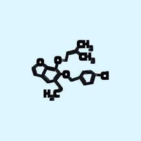 C=Cc1cc2ccoc2c(OCC=C(C)C)c1OCc1ccc(Cl)cc1